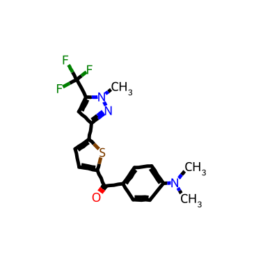 CN(C)c1ccc(C(=O)c2ccc(-c3cc(C(F)(F)F)n(C)n3)s2)cc1